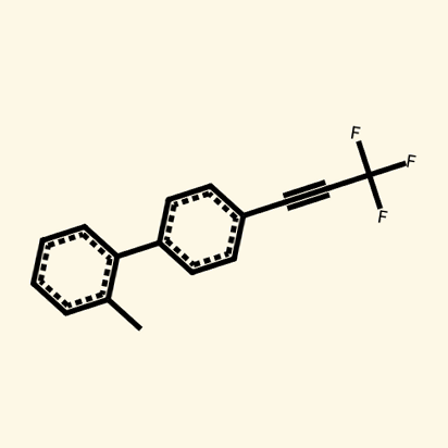 Cc1ccccc1-c1ccc(C#CC(F)(F)F)cc1